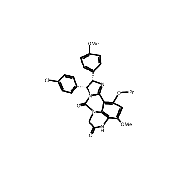 COc1ccc([C@@H]2N=C3c4c(OC(C)C)cc(OC)c5c4N(CC(=O)N5)C(=O)N3[C@@H]2c2ccc(Cl)cc2)cc1